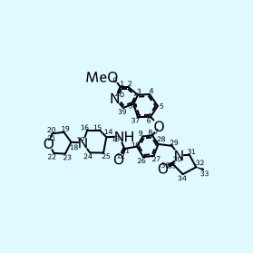 COc1cc2ccc(Oc3cc(C(=O)NC4CCN(C5CCOCC5)CC4)ccc3CN3C[C@@H](C)CC3=O)cc2cn1